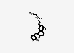 CCCS(=O)(=O)NCCOc1ccc2c(c1)C(Cc1ccc(F)c(Cl)c1)C(N)CC2.Cl